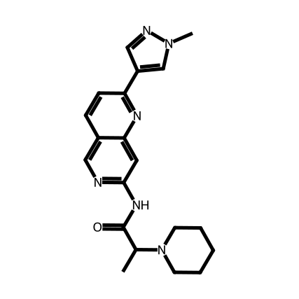 CC(C(=O)Nc1cc2nc(-c3cnn(C)c3)ccc2cn1)N1CCCCC1